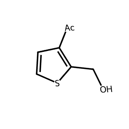 CC(=O)c1ccsc1CO